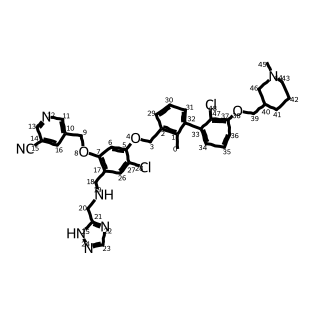 Cc1c(COc2cc(OCc3cncc(C#N)c3)c(CNCc3ncn[nH]3)cc2Cl)cccc1-c1cccc(OCC2CCCN(C)C2)c1Cl